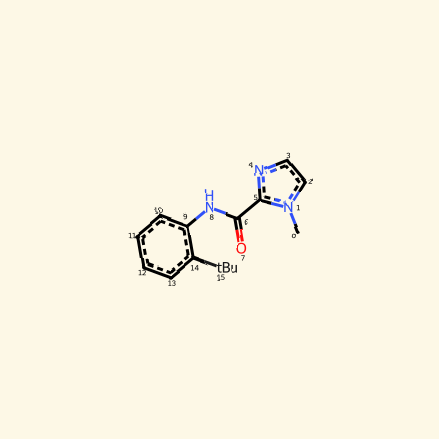 Cn1ccnc1C(=O)Nc1ccccc1C(C)(C)C